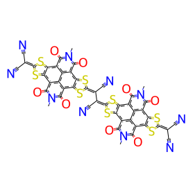 Cn1c(=O)c2c3sc(=C(C#N)C#N)sc3c3c(=O)n(C)c(=O)c4c5sc(=C(C#N)C(C#N)=c6sc7c(s6)c6c(=O)n(C)c(=O)c8c9sc(=C(C#N)C#N)sc9c9c(=O)n(C)c(=O)c7c9c86)sc5c(c1=O)c2c34